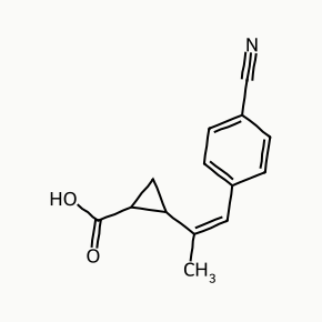 CC(=Cc1ccc(C#N)cc1)C1CC1C(=O)O